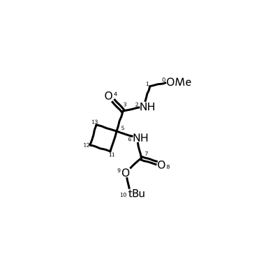 COCNC(=O)C1(NC(=O)OC(C)(C)C)CCC1